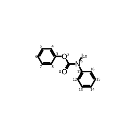 O=C(Oc1ccccc1)N(I)c1ccccc1